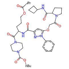 CCCCOC(=O)N1CCN(C(=O)C(CCCOC(=O)C(C)C)NC(=O)c2cc(OCC(=O)N3CCCC3C(=O)NC3CCC3)n(-c3ccccc3)n2)CC1